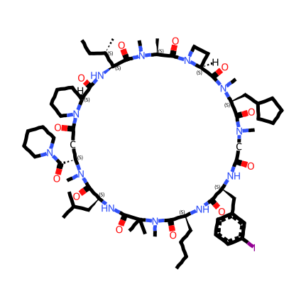 CCCC[C@@H]1NC(=O)[C@H](Cc2cccc(I)c2)NC(=O)CN(C)C(=O)[C@H](CC2CCCC2)N(C)C(=O)[C@@H]2CCN2C(=O)[C@H](C)N(C)C(=O)[C@H]([C@@H](C)CC)NC(=O)[C@@H]2CCCCN2C(=O)C[C@@H](C(=O)N2CCCCC2)N(C)C(=O)[C@H](CC(C)C)NC(=O)C(C)(C)N(C)C1=O